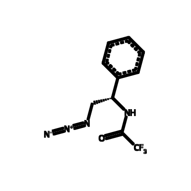 [N-]=[N+]=NC[C@@H](NC(=O)C(F)(F)F)c1ccccc1